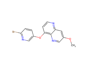 COc1cnc2c(Oc3ccc(Br)nc3)ccnc2c1